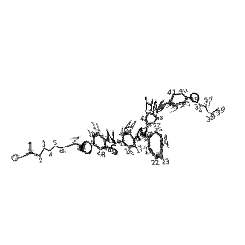 CCCCCCCCOc1ccc2nc(-c3ccc(N(c4ccccc4)c4ccc(Nc5ccc(OCCCC)cc5)cc4)cc3)sc2c1